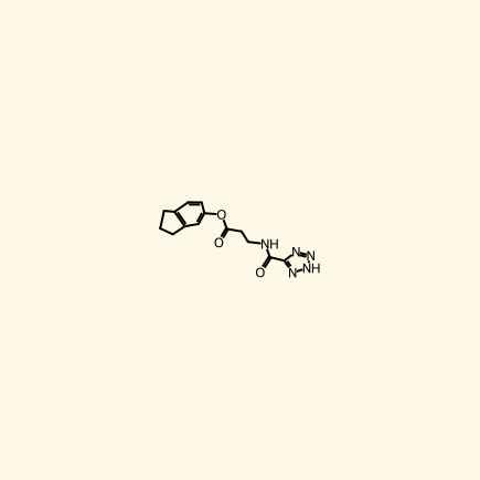 O=C(CCNC(=O)c1nn[nH]n1)Oc1ccc2c(c1)CCC2